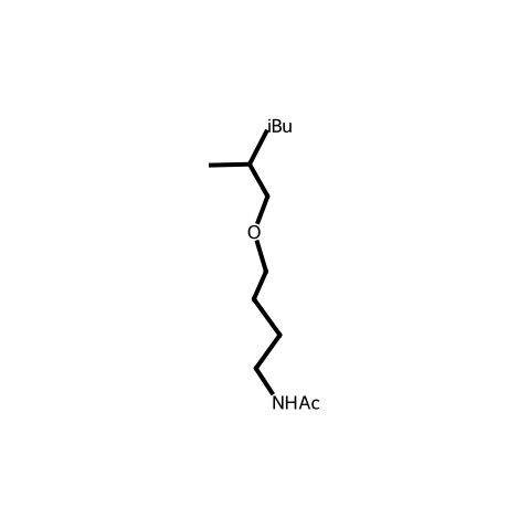 CCC(C)C(C)COCCCCNC(C)=O